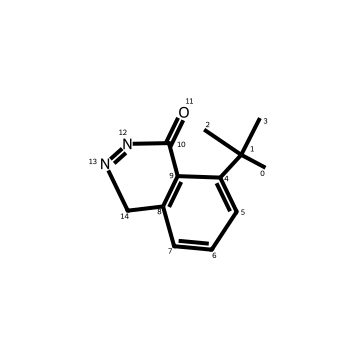 CC(C)(C)c1cccc2c1C(=O)N=NC2